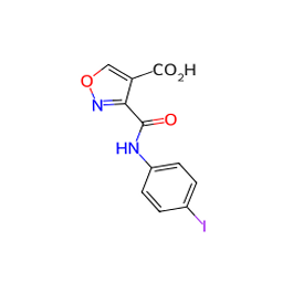 O=C(O)c1conc1C(=O)Nc1ccc(I)cc1